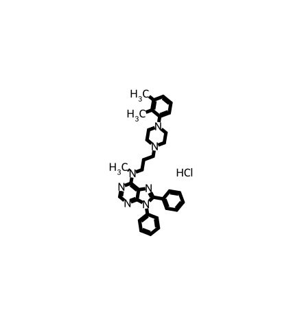 Cc1cccc(N2CCN(CCCN(C)c3ncnc4c3nc(-c3ccccc3)n4-c3ccccc3)CC2)c1C.Cl